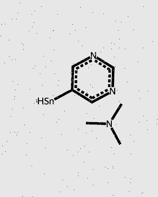 CN(C)C.[SnH][c]1cncnc1